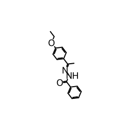 CCOc1ccc(/C(C)=N/NC(=O)c2ccccc2)cc1